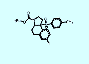 Cc1ccc(S(=O)(=O)C23CCN(C(=O)OC(C)(C)C)C2CCc2cc(I)ccc23)cc1